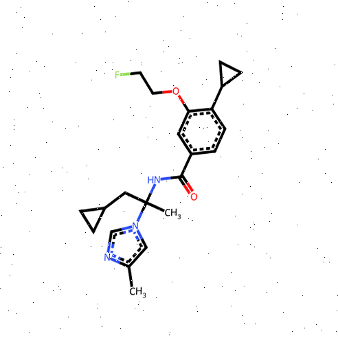 Cc1cn(C(C)(CC2CC2)NC(=O)c2ccc(C3CC3)c(OCCF)c2)cn1